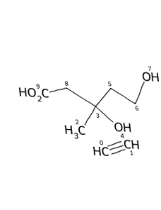 C#C.CC(O)(CCO)CC(=O)O